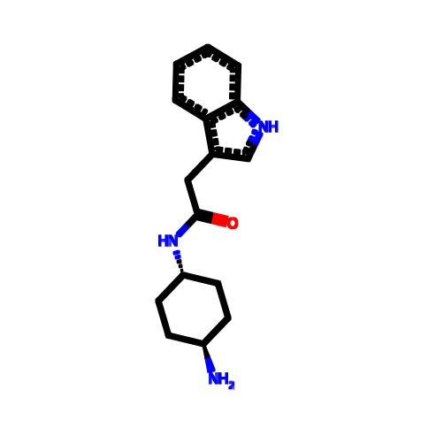 N[C@H]1CC[C@H](NC(=O)Cc2c[nH]c3ccccc23)CC1